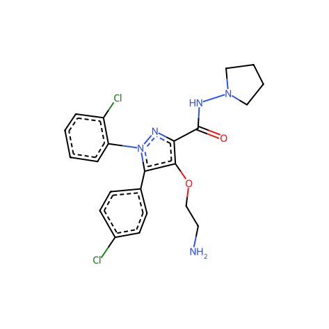 NCCOc1c(C(=O)NN2CCCC2)nn(-c2ccccc2Cl)c1-c1ccc(Cl)cc1